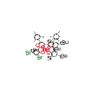 Cc1cc(C)c(-c2cc(-c3cc(-c4c(C)cc(C)cc4C)cc(C(C)(C)C)c3Op3oc4c([Si](C)(C)C)cc(C(C)(C)C)cc4c4cc(C(C)(C)C)cc([Si](C)(C)C)c4o3)c(OP3OC(=O)c4cc(Br)cc(Br)c4O3)c(C(C)(C)C)c2)c(C)c1